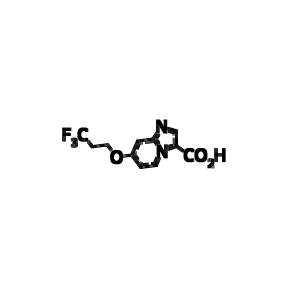 O=C(O)c1cnc2cc(OCCC(F)(F)F)ccn12